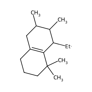 C[CH]C1C2=C(CCCC2(C)C)CC(C)C1C